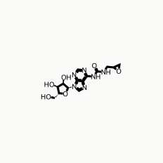 O=C(NCC1CO1)Nc1ncnc2c1ncn2[C@@H]1O[C@H](CO)[C@@H](O)[C@H]1O